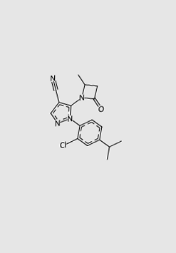 CC(C)c1ccc(-n2ncc(C#N)c2N2C(=O)CC2C)c(Cl)c1